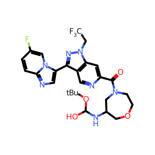 CC(C)(C)OC(O)NC1COCCN(C(=O)c2cc3c(cn2)c(-c2cnc4ccc(F)cn24)nn3CC(F)(F)F)C1